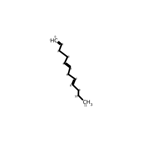 [CH]=CCCC=CCC=CCCC